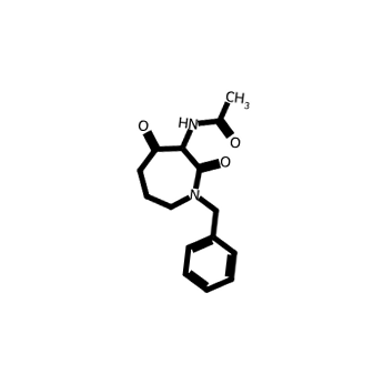 CC(=O)NC1C(=O)CCCN(Cc2ccccc2)C1=O